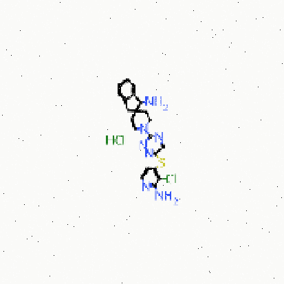 Cl.Nc1nccc(Sc2cnc(N3CCC4(CC3)Cc3ccccc3[C@H]4N)nn2)c1Cl